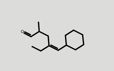 CCC(=CC1CCCCC1)CC(C)C=O